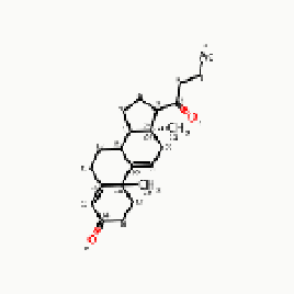 CC(=O)CCC(=O)C1CCC2C3CCC4=CC(=O)CCC4(C)C3=CC[C@]12C